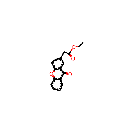 CCOC(=O)Cc1ccc2oc3ccccc3c(=O)c2c1